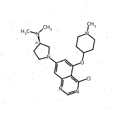 CN1CCC(Oc2cc(N3CC[C@@H](N(C)C)C3)cc3ncnc(Cl)c23)CC1